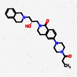 CCC(=O)N1CCN(c2ccc3c(c2)CCN(C[C@H](O)CN2CCc4ccccc4C2)C3=O)CC1